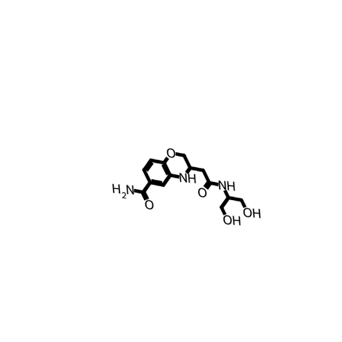 NC(=O)c1ccc2c(c1)NC(CC(=O)NC(CO)CO)CO2